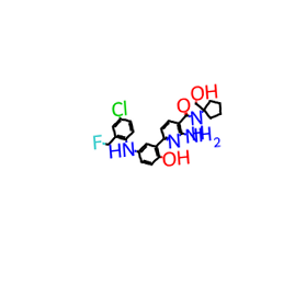 Nc1nc(-c2cc(Nc3ccc(Cl)cc3CF)ccc2O)ccc1C(=O)NC1(CO)CCCC1